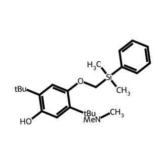 CC(C)(C)c1cc(OC[Si](C)(C)c2ccccc2)c(C(C)(C)C)cc1O.CNC